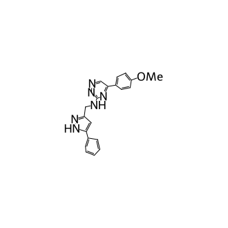 COc1ccc(-c2cnnc(NCc3cc(-c4ccccc4)[nH]n3)n2)cc1